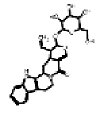 C=CC1C(OC2OC(CO)C(O)C(O)C2O)OC=C2C(=O)N3CCc4c([nH]c5ccccc45)C3CC21